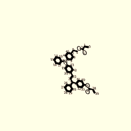 C=CC(=O)OCCc1ccc(N(c2ccccc2)c2ccc(C=CC(c3ccccc3)c3ccc(OC(=O)C=C)cc3)cc2)cc1